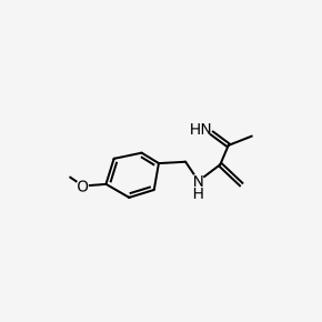 C=C(NCc1ccc(OC)cc1)C(C)=N